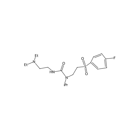 CCN(CC)CCNC(=O)N(CCS(=O)(=O)c1ccc(F)cc1)C(C)C